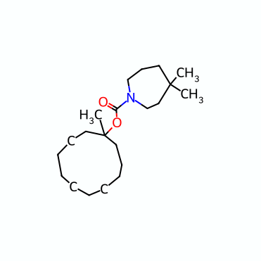 CC1(C)CCCN(C(=O)OC2(C)CCCCCCCCCC2)CC1